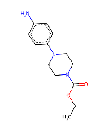 CCOC(=O)N1CCN(c2ccc(N)cc2)CC1